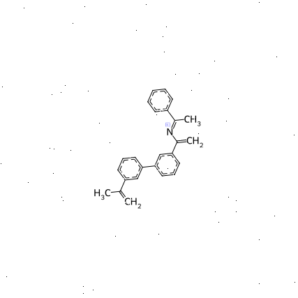 C=C(C)c1cccc(-c2cccc(C(=C)/N=C(\C)c3ccccc3)c2)c1